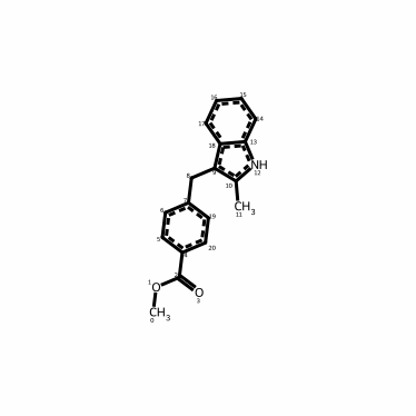 COC(=O)c1ccc(Cc2c(C)[nH]c3ccccc23)cc1